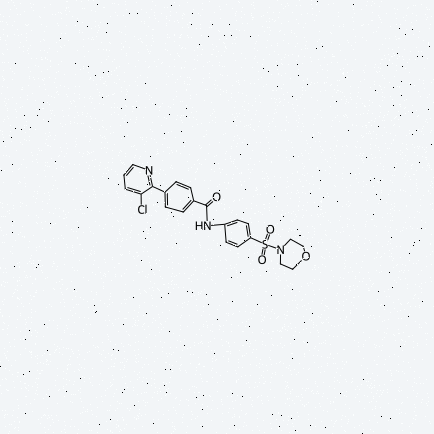 O=C(Nc1ccc(S(=O)(=O)N2CCOCC2)cc1)c1ccc(-c2ncccc2Cl)cc1